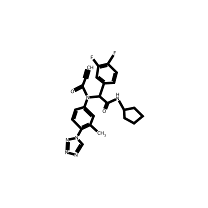 C#CC(=O)N(c1ccc(-n2cnnn2)c(C)c1)C(C(=O)NC1CCCC1)c1ccc(F)c(F)c1